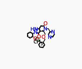 COc1ccccc1-n1[nH]c2cc(=O)n(Cc3cnccn3)c(COCc3ccccc3Cl)c2c1=O